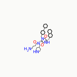 NCCCC(=O)N(CC1CCNCC1)C[C@H]1C(=O)N[C@@H](Cc2ccc3ccccc3c2)C(=O)N1Cc1ccc(-c2ccccc2)cc1